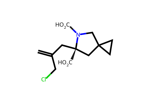 C=C(CCl)C[C@@]1(C(=O)O)CC2(CC2)CN1C(=O)O